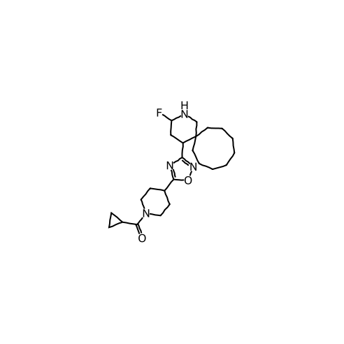 O=C(C1CC1)N1CCC(c2nc(C3CC(F)NCC34CCCCCCCC4)no2)CC1